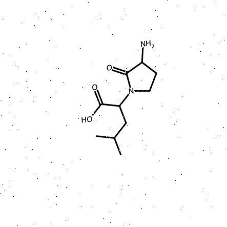 CC(C)CC(C(=O)O)N1CCC(N)C1=O